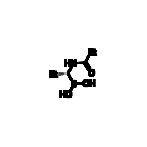 CCC(=O)N[C@@H](CC)B(O)O